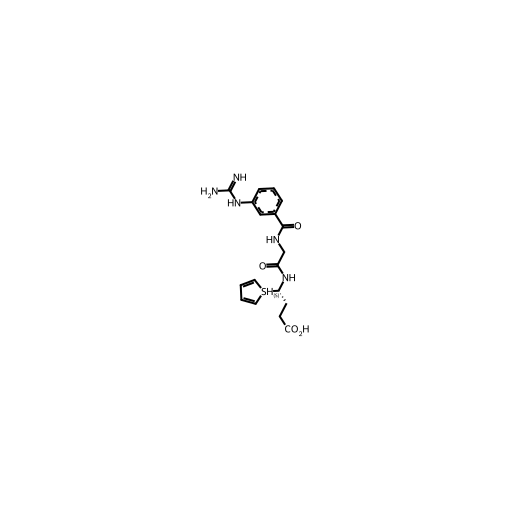 N=C(N)Nc1cccc(C(=O)NCC(=O)N[C@H](CCC(=O)O)[SH]2C=CC=C2)c1